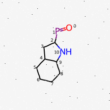 O=PC1CC2CCCCC2N1